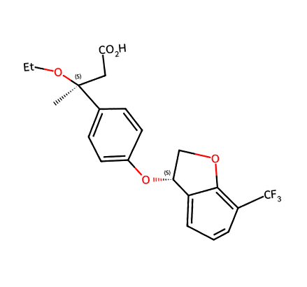 CCO[C@@](C)(CC(=O)O)c1ccc(O[C@@H]2COc3c2cccc3C(F)(F)F)cc1